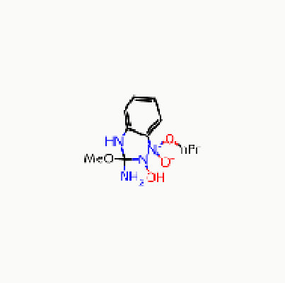 CCCO[N+]1([O-])c2ccccc2NC(N)(OC)N1O